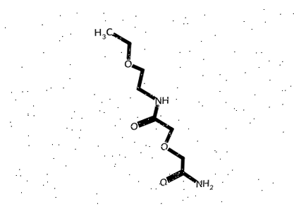 CCOCCNC(=O)COCC(N)=O